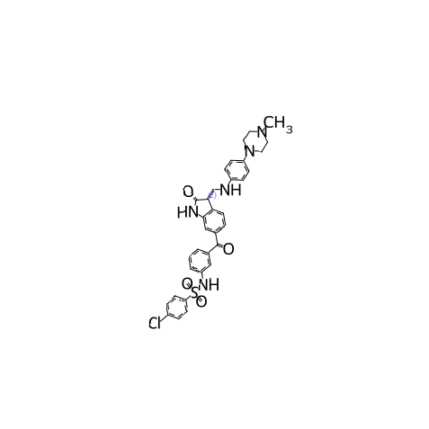 CN1CCN(c2ccc(N/C=C3/C(=O)Nc4cc(C(=O)c5cccc(NS(=O)(=O)c6ccc(Cl)cc6)c5)ccc43)cc2)CC1